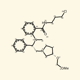 COCO[C@H]1CCN(C[C@H](c2ccccc2)N(C)c2ccccc2C(=O)NCCCCl)C1